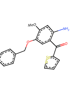 COc1cc(N)c(C(=O)c2cccs2)cc1OCc1ccccc1